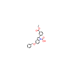 CCOC(=O)c1cccc(-c2cc3cc(OCc4ccccc4)ccc3n2C(=O)O)c1